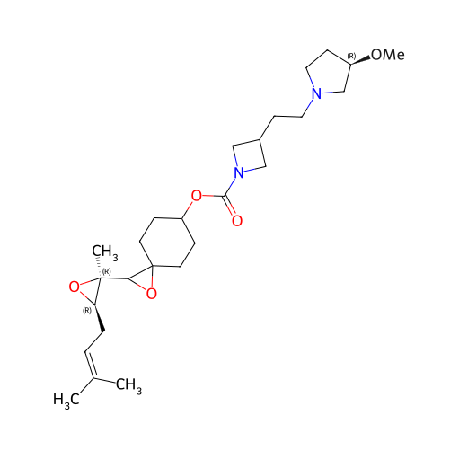 CO[C@@H]1CCN(CCC2CN(C(=O)OC3CCC4(CC3)OC4[C@]3(C)O[C@@H]3CC=C(C)C)C2)C1